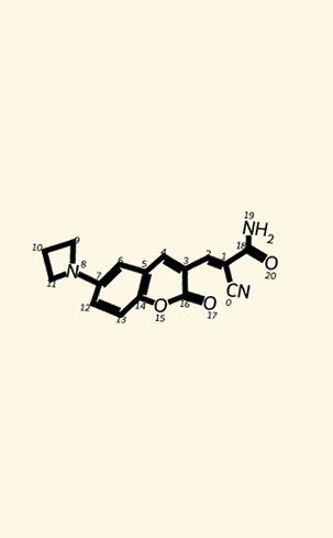 N#CC(=Cc1cc2cc(N3CCC3)ccc2oc1=O)C(N)=O